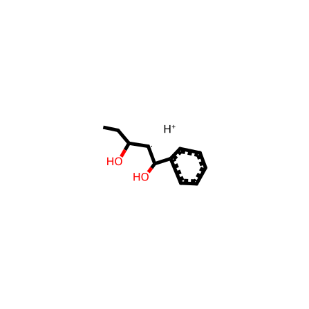 CCC(O)[CH]C(O)c1ccccc1.[H+]